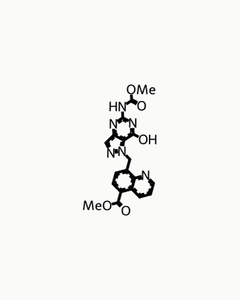 COC(=O)Nc1nc(O)c2c(cnn2Cc2ccc(C(=O)OC)c3cccnc23)n1